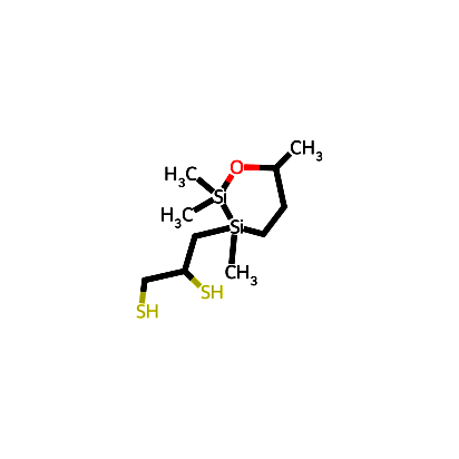 CC1CC[Si](C)(CC(S)CS)[Si](C)(C)O1